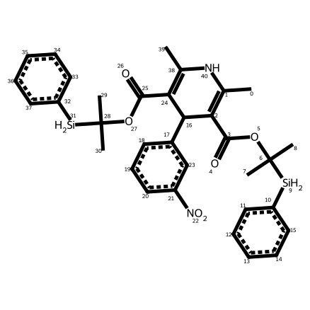 CC1=C(C(=O)OC(C)(C)[SiH2]c2ccccc2)C(c2cccc([N+](=O)[O-])c2)C(C(=O)OC(C)(C)[SiH2]c2ccccc2)=C(C)N1